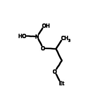 CCOCC(C)ON(O)O